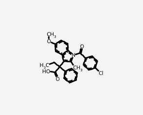 CCC(C(=O)O)(c1ccccc1)c1c(C)n(C(=O)c2ccc(Cl)cc2)c2ccc(OC)cc12